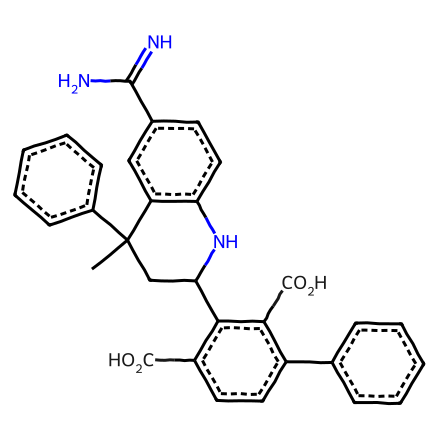 CC1(c2ccccc2)CC(c2c(C(=O)O)ccc(-c3ccccc3)c2C(=O)O)Nc2ccc(C(=N)N)cc21